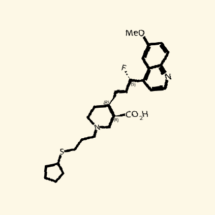 COc1ccc2nccc([C@@H](F)CC[C@@H]3CCN(CCCSC4CCCC4)C[C@@H]3C(=O)O)c2c1